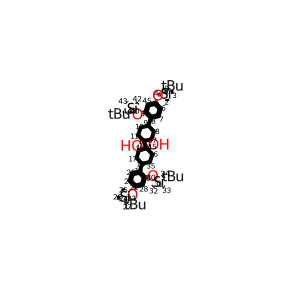 CC(C)(C)[Si](C)(C)Oc1ccc(C2CCC(O)(C3(O)CCC(c4ccc(O[Si](C)(C)C(C)(C)C)cc4O[Si](C)(C)C(C)(C)C)CC3)CC2)c(O[Si](C)(C)C(C)(C)C)c1